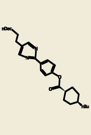 CCCCCCCCCCCCc1cnc(-c2ccc(OC(=O)[C@H]3CC[C@H](CCCC)CC3)cc2)nc1